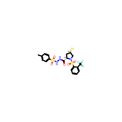 Cc1ccc(S(=O)(=O)NNC(=O)[C@@H]2C[C@@H](S)CN2S(=O)(=O)c2ccccc2C(F)(F)F)cc1